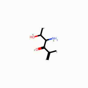 C=C(C)C(=O)C(N)C(C)O